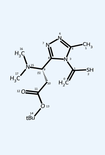 C=C(S)n1c(C)nnc1[C@H](CC(=O)OC(C)(C)C)N(C)C